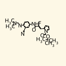 CN(C)/C=N/c1ccc(NC(=O)/C(F)=C/c2cccn2C(=O)OC(C)(C)C)cc1C#N